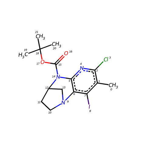 Cc1c(Cl)nc2c(c1I)N1CCC(C1)N2C(=O)OC(C)(C)C